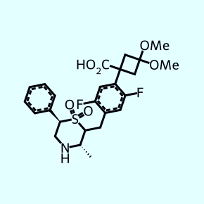 COC1(OC)CC(C(=O)O)(c2cc(F)c(CC3[C@H](C)NC[C@@H](c4ccccc4)S3(=O)=O)cc2F)C1